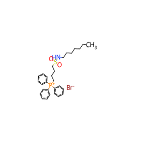 CCCCCCCNS(=O)(=O)CCCC[P+](c1ccccc1)(c1ccccc1)c1ccccc1.[Br-]